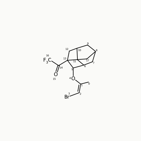 C/C(=C/Br)OC1C2CC3CC(C2)CC1(C(=O)C(F)(F)F)C3